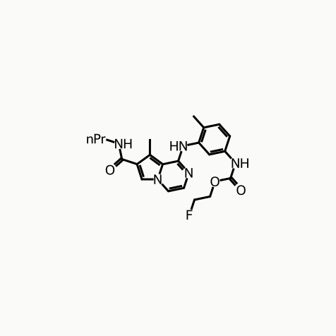 CCCNC(=O)c1cn2ccnc(Nc3cc(NC(=O)OCCF)ccc3C)c2c1C